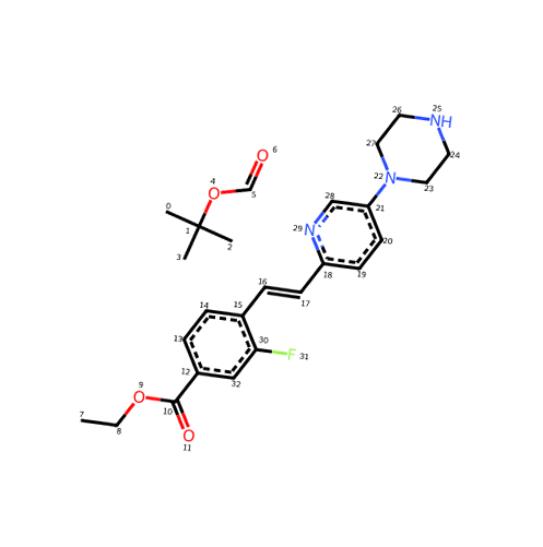 CC(C)(C)OC=O.CCOC(=O)c1ccc(C=Cc2ccc(N3CCNCC3)cn2)c(F)c1